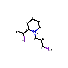 CC(I)C1CCCCN1CCCI